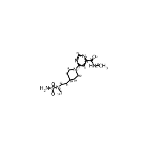 CNC(=O)c1cc(N2CCC(CCN(I)S(N)(=O)=O)CC2)ncn1